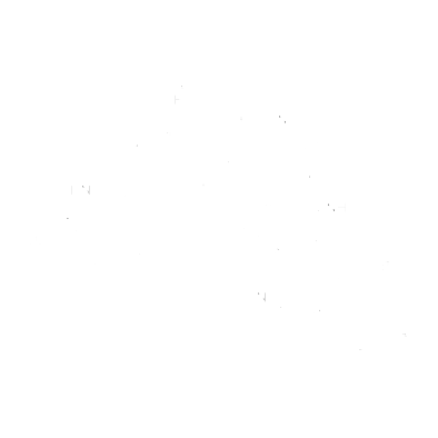 NC(=O)C(Nc1cncc(-c2cc3c(cc2F)NC(=O)CC3)c1)c1ccccc1